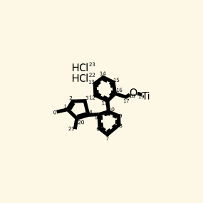 CC1=CCC(c2ccccc2-c2ccccc2C[O][Ti])=C1C.Cl.Cl